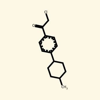 CC1CCC(c2ccc(C(=O)CCl)cc2)CC1